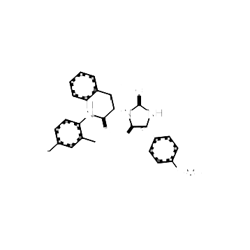 COc1ccc([C@H]2NC(=O)N([C@H](C(=O)Nc3ccc(I)cc3C)[C@@H](C)c3ccccc3)C2=O)cc1